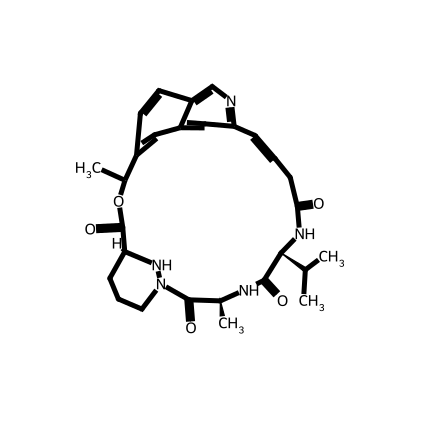 CC1OC(=O)[C@@H]2CCCN(N2)C(=O)[C@H](C)NC(=O)[C@H](C(C)C)NC(=O)C/C=C\c2cc3cc1ccc3cn2